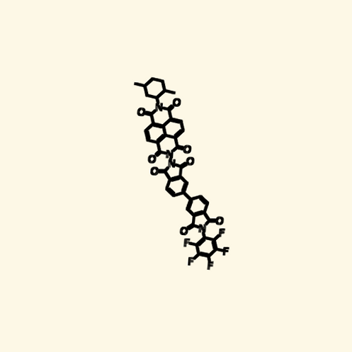 CC1CCC(C)C(N2C(=O)c3ccc4c5c(ccc(c35)C2=O)C(=O)N(N2C(=O)c3ccc(-c5ccc6c(c5)C(=O)N(c5c(F)c(F)c(F)c(F)c5F)C6=O)cc3C2=O)C4=O)C1